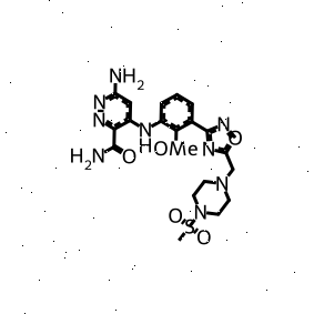 COc1c(Nc2cc(N)nnc2C(N)=O)cccc1-c1noc(CN2CCN(S(C)(=O)=O)CC2)n1